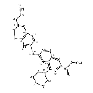 C[C@H](CO)c1cc2cnc(Nc3ccc4c(n3)CCN(CCO)C4)nc2c(N2CCCCC2)n1